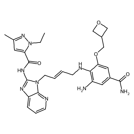 CCn1nc(C)cc1C(=O)Nc1nc2cccnc2n1CC=CCNc1c(N)cc(C(N)=O)cc1OCC1COC1